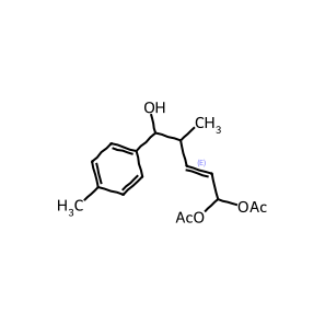 CC(=O)OC(/C=C/C(C)C(O)c1ccc(C)cc1)OC(C)=O